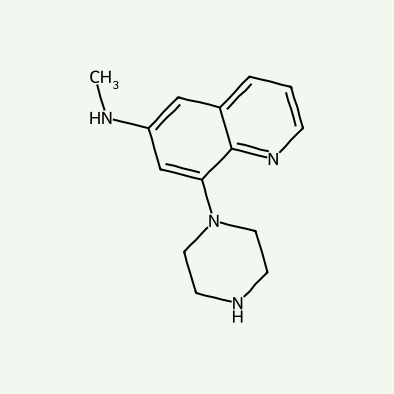 CNc1cc(N2CCNCC2)c2ncccc2c1